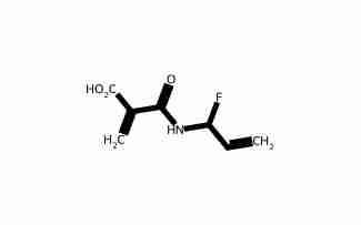 C=CC(F)NC(=O)C(=C)C(=O)O